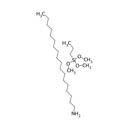 CCCCCCCCCCCCCCCCCCN.CCC[Si](OC)(OC)OC